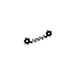 c1ccc(CSSSSSSSCc2ccccc2)cc1